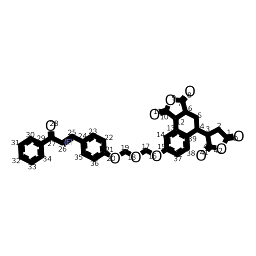 O=C1CC(C2CC3C(=O)OC(=O)C3c3cc(OCOCOc4ccc(/C=C/C(=O)c5ccccc5)cc4)ccc32)C(=O)O1